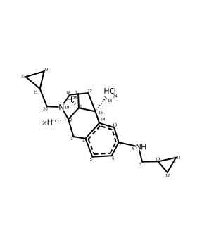 C[C@@H]1[C@H]2Cc3ccc(NCC4CC4)cc3[C@]1(C)CCN2CC1CC1.Cl